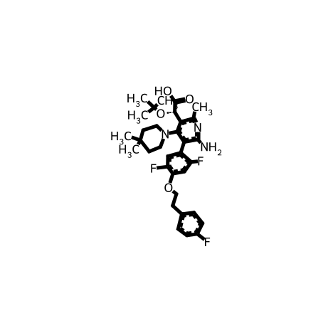 Cc1nc(N)c(-c2cc(F)c(OCCc3ccc(F)cc3)cc2F)c(N2CCC(C)(C)CC2)c1[C@H](OC(C)(C)C)C(=O)O